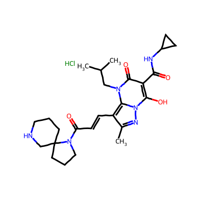 Cc1nn2c(O)c(C(=O)NC3CC3)c(=O)n(CC(C)C)c2c1/C=C/C(=O)N1CCCC12CCCNC2.Cl